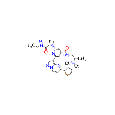 CCN(CC)C(C)CNC(=O)c1cc(-c2cnn3ccc(-c4cccs4)nc23)nc(N2CCC2C(=O)NCC(F)(F)F)c1